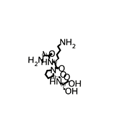 C[C@H](N)C(=O)N[C@@H](CCCCN)C(=O)N1CCC[C@H]1C(=O)N[C@@H](CO)C(=O)O